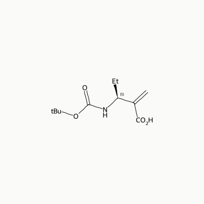 C=C(C(=O)O)[C@H](CC)NC(=O)OC(C)(C)C